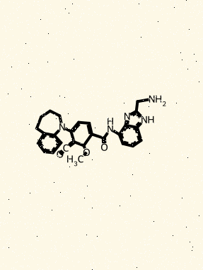 COC1C(=C=O)C(N2CCCCc3ccccc32)=CC=C1C(=O)Nc1cccc2[nH]c(CN)nc12